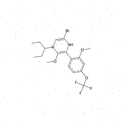 CCC(CC)N1C=C(Br)NC(c2ccc(OC(F)(F)F)cc2OC)=C1OC